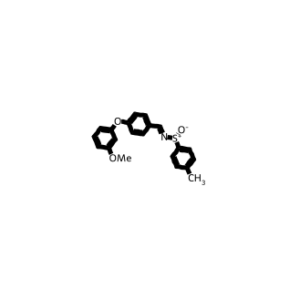 COc1cccc(Oc2ccc(C=N[S+]([O-])c3ccc(C)cc3)cc2)c1